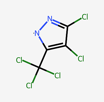 ClC1=N[N]C(C(Cl)(Cl)Cl)=C1Cl